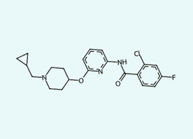 O=C(Nc1cccc(OC2CCN(CC3CC3)CC2)n1)c1ccc(F)cc1Cl